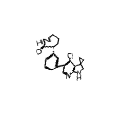 O=C1NCCC[C@@H]1c1cccc(-c2cnc3c(c2Cl)C2(CC2)CN3)c1